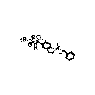 C[C@@H](NS(=O)(=O)C(C)(C)C)c1ccc2c(c1)CCN2C(=O)OCc1ccccc1